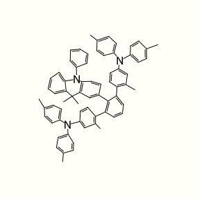 Cc1ccc(N(c2ccc(C)cc2)c2ccc(-c3cccc(-c4ccc(N(c5ccc(C)cc5)c5ccc(C)cc5)cc4C)c3-c3ccc4c(c3)C(C)(C)c3ccccc3N4c3ccccc3)c(C)c2)cc1